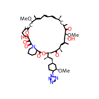 COC1C(=O)C(C)C[C@H](C)/C=C/C=C/C=C(\C)[C@@H](OC)C[C@@H]2CC[C@@H](C)[C@@](O)(O2)C(=O)C(=O)N2CCCCC2C(=O)O[C@H]([C@H](C)C[C@@H]2CCC(n3ncnn3)[C@H](OC)C2)CC(=O)[C@H](C)/C=C(\C)[C@H]1O